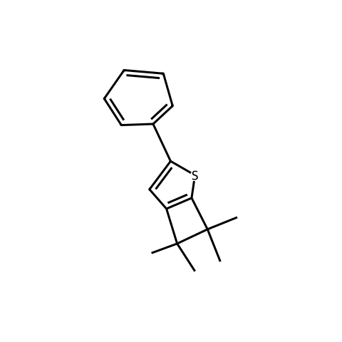 CC1(C)c2cc(-c3ccccc3)sc2C1(C)C